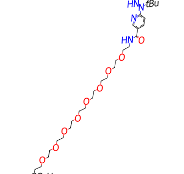 CC(C)(C)N(NC(=O)O)c1ccc(C(=O)NCCOCCOCCOCCOCCOCCOCCOCCOCCC(=O)O)cn1